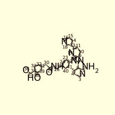 Nc1ncccc1-c1nc2ccc(-c3cccnc3)nc2n1-c1ccc(CNC(=O)Cc2ccc(C=O)c(O)c2)cc1